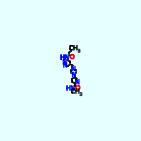 CCCC(=O)Nc1cc(CN2CCN(c3ccc(C(=O)NC)nc3)CC2)cnn1